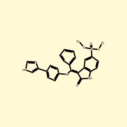 CCOP(=O)(OCC)c1ccc2c(c1)/C(=C(/Nc1ccc(-c3c[nH]cn3)cc1)c1ccccc1)C(=O)N2